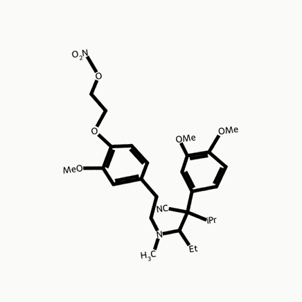 CCC(N(C)CCc1ccc(OCCO[N+](=O)[O-])c(OC)c1)C(C#N)(c1ccc(OC)c(OC)c1)C(C)C